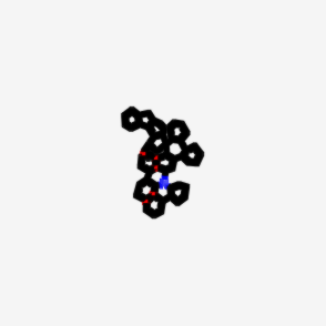 c1ccc(-c2ccccc2N(c2ccc3c(c2)-c2ccccc2-c2ccccc2C32c3ccccc3-c3c2ccc2c3-c3ccccc3C2)c2ccccc2-c2ccccc2)cc1